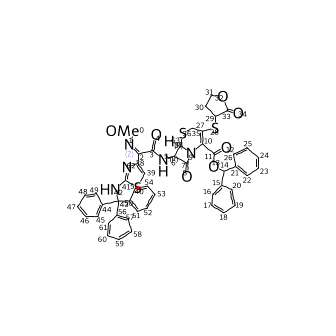 CO/N=C(\C(=O)N[C@@H]1C(=O)N2C(C(=O)OC(c3ccccc3)c3ccccc3)=C(SC3CCOC3=O)CS[C@H]12)c1csc(NC(c2ccccc2)(c2ccccc2)c2ccccc2)n1